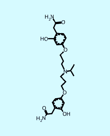 CC(C)N(CCCOc1ccc(CC(N)=O)c(O)c1)CCCOc1ccc(CC(N)=O)c(O)c1